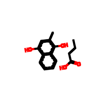 CCCC(=O)O.Cc1cc(O)c2ccccc2c1O